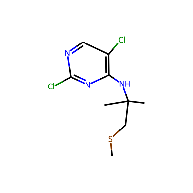 CSCC(C)(C)Nc1nc(Cl)ncc1Cl